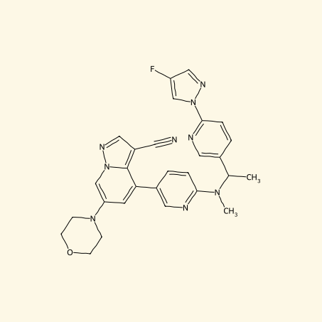 CC(c1ccc(-n2cc(F)cn2)nc1)N(C)c1ccc(-c2cc(N3CCOCC3)cn3ncc(C#N)c23)cn1